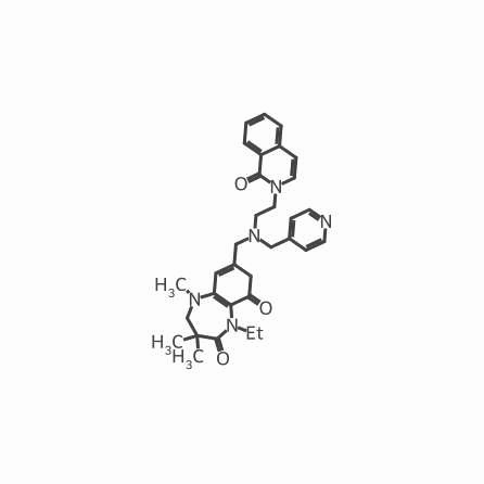 CCN1C(=O)C(C)(C)CN(C)C2=C1C(=O)CC(CN(CCn1ccc3ccccc3c1=O)Cc1ccncc1)=C2